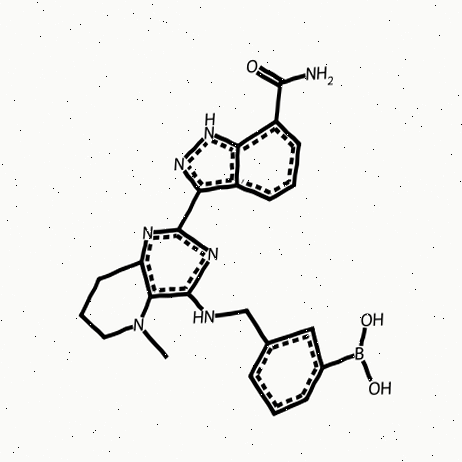 CN1CCCc2nc(-c3n[nH]c4c(C(N)=O)cccc34)nc(NCc3cccc(B(O)O)c3)c21